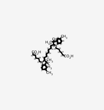 Cc1ccc2c(c1)C(C)(C)C(=CC=CC=CC=CC1=[N+](CCCCCC(=O)O)c3ccc(C)cc3C1(C)C)N2CCCCCC(=O)O